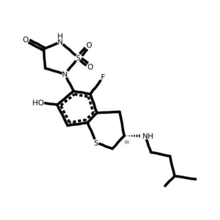 CC(C)CCN[C@@H]1CSc2cc(O)c(N3CC(=O)NS3(=O)=O)c(F)c2C1